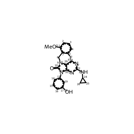 COc1cccc(F)c1Cn1c(=O)n(-c2cccc(O)c2)c2nc(NC3CC3)ncc21